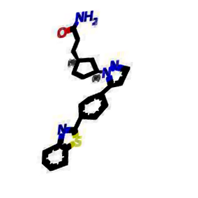 NC(=O)CC[C@@H]1CC[C@@H](n2nccc2-c2ccc(-c3nc4ccccc4s3)cc2)C1